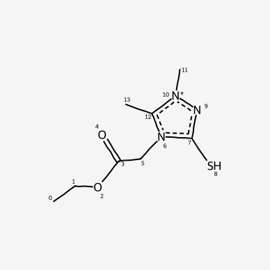 CCOC(=O)Cn1c(S)n[n+](C)c1C